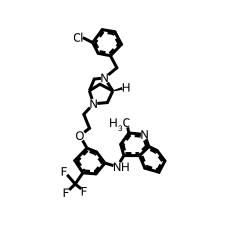 Cc1cc(Nc2cc(OCCN3C[C@@H]4CC3CN4Cc3cccc(Cl)c3)cc(C(F)(F)F)c2)c2ccccc2n1